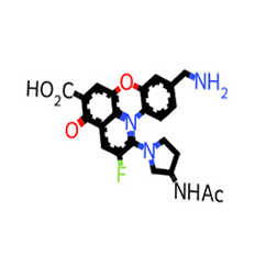 CC(=O)NC1CCN(c2c(F)cc3c(=O)c(C(=O)O)cc4c-3n2-c2ccc(CN)cc2O4)C1